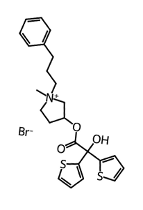 C[N+]1(CCCc2ccccc2)CCC(OC(=O)C(O)(c2cccs2)c2cccs2)C1.[Br-]